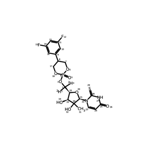 [2H]C([2H])(OP1(=O)OCC(c2cc(F)cc(F)c2)CO1)[C@H]1O[C@@H](n2ccc(=O)[nH]c2=S)C(C)(O)[C@H]1O